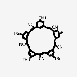 CC(C)(C)c1cc2cc(c1)/C(C#N)=C/c1cc(cc(C(C)(C)C)c1)/C(C#N)=C/c1cc(cc(C(C)(C)C)c1)/C(C#N)=C/c1cc(cc(C(C)(C)C)c1)/C(C#N)=C/c1cc(I)cc(c1)/C(C#N)=C/2